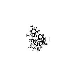 CC(C)C[C@@H](C(=O)N1C[C@]2(C[C@H]1C=O)C(=O)Nc1ccccc12)N(C)C(=O)c1cc2c(F)cc(F)cc2[nH]1